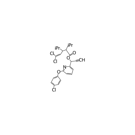 C#CC(OC(=O)C(C(C)C)C(C=C(Cl)Cl)C(C)C)c1cccc(Oc2ccc(Cl)cc2)n1